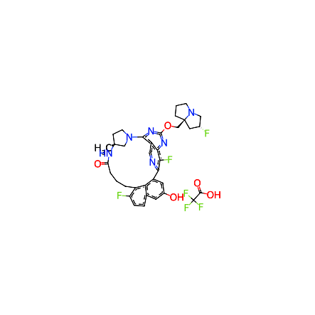 C[C@@]12CCN(C1)c1nc(OC[C@@]34CCCN3C[C@H](F)C4)nc3c(F)c(ncc13)-c1cc(O)cc3ccc(F)c(c13)CCCC(=O)N2.O=C(O)C(F)(F)F